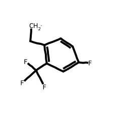 [CH2]Cc1ccc(F)cc1C(F)(F)F